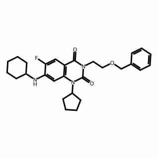 O=c1c2cc(F)c(NC3CCCCC3)cc2n(C2CCCC2)c(=O)n1CCOCc1ccccc1